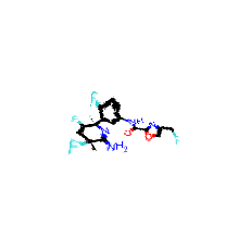 C[C@@]1(F)CC(F)[C@@](C)(c2cc(NC(=O)c3nc(CF)co3)ccc2F)N=C1N